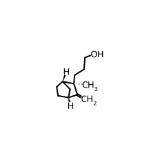 C=C1[C@@H]2CC[C@@H](C2)[C@@]1(C)CCCO